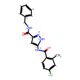 Cc1cc(Cl)ccc1C(=O)Nc1cc(C(=O)NCc2ccccc2)n[nH]1